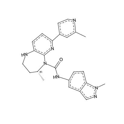 Cc1cc(-c2ccc3c(n2)N(C(=O)Nc2ccc4c(cnn4C)c2)[C@H](C)CCN3)ccn1